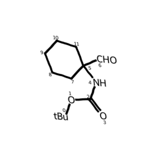 CC(C)(C)OC(=O)NC1(C=O)CCCCC1